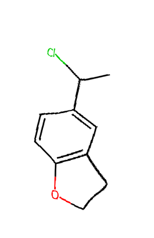 CC(Cl)c1ccc2c(c1)CCO2